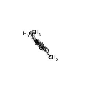 C=CCCCCOc1ccc(C(=O)Oc2ccc(-c3ncc(CCCCCC(C)CC)cn3)cc2)cc1